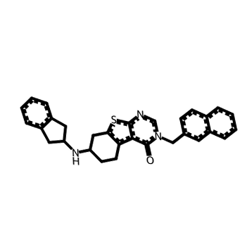 O=c1c2c3c(sc2ncn1Cc1ccc2ccccc2c1)CC(NC1Cc2ccccc2C1)CC3